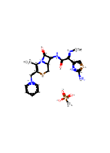 CON=C(C(=O)NC1C(=O)N2C(C(=O)O)=C(C[n+]3ccccc3)SCC12)c1csc(N)n1.O=S(=O)([O-])C(F)(F)F